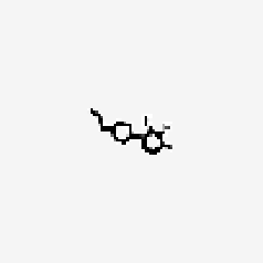 CCCC1CCC(C2CCC(C)C(F)C2F)CC1